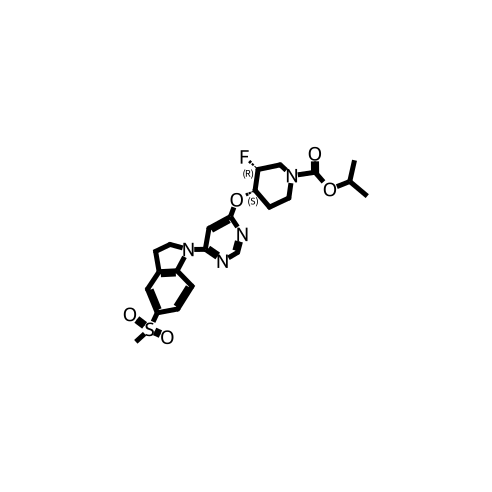 CC(C)OC(=O)N1CC[C@H](Oc2cc(N3CCc4cc(S(C)(=O)=O)ccc43)ncn2)[C@H](F)C1